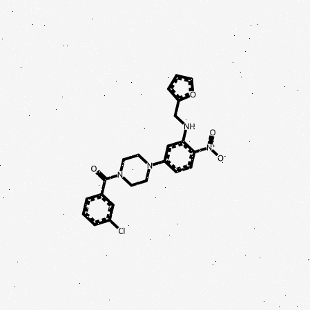 O=C(c1cccc(Cl)c1)N1CCN(c2ccc([N+](=O)[O-])c(NCc3ccco3)c2)CC1